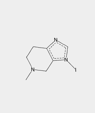 CN1CCc2ncn(I)c2C1